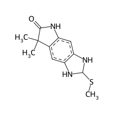 CSC1Nc2cc3c(cc2N1)C(C)(C)C(=O)N3